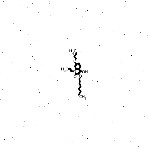 CC=Cn1c(=O)c(OCCCCCCCC)c(O)c2ccc(OCCCC)cc21